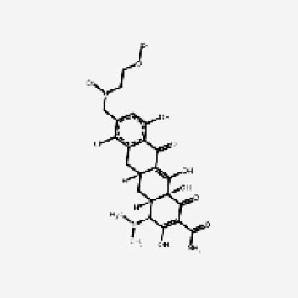 CCN(CCOC(C)C)Cc1cc(O)c2c(c1Cl)C[C@H]1C[C@H]3[C@H](N(C)C)C(O)=C(C(N)=O)C(=O)[C@@]3(O)C(O)=C1C2=O